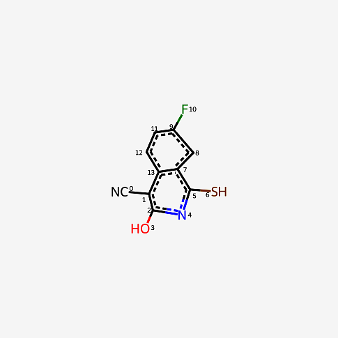 N#Cc1c(O)nc(S)c2cc(F)ccc12